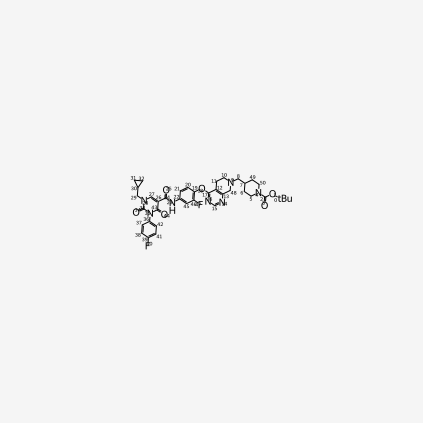 CC(C)(C)OC(=O)N1CCC(CN2CCc3c(ncnc3Oc3ccc(NC(=O)c4cn(CC5CC5)c(=O)n(-c5ccc(F)cc5)c4=O)cc3F)C2)CC1